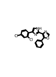 Clc1ccc(-c2c[nH]c(-c3ncoc3-c3ccccc3)n2)c(Cl)c1